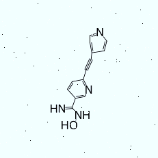 N=C(NO)c1ccc(C#Cc2ccncc2)nc1